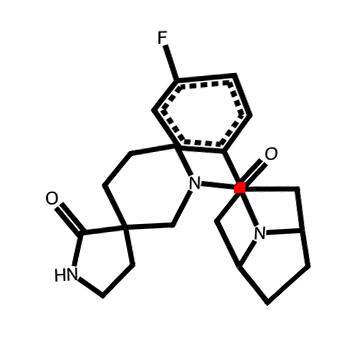 O=C(N1CCCC2(CCNC2=O)C1)N1C2CCC1CC(c1ccc(F)cc1)C2